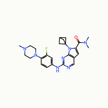 CN1CCN(c2ccc(Nc3ncc4cc(C(=O)N(C)C)n(C56CC(C5)C6)c4n3)cc2F)CC1